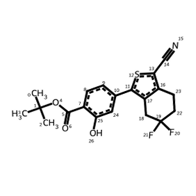 CC(C)(C)OC(=O)c1ccc(-c2sc(C#N)c3c2CC(F)(F)CC3)cc1O